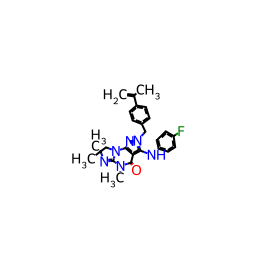 C=C(C)c1ccc(Cn2nc3c(c2Nc2ccc(F)cc2)C(=O)N(C)C2=NC(C)(C)CN23)cc1